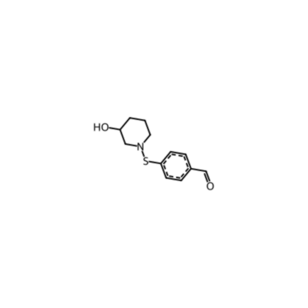 O=Cc1ccc(SN2CCCC(O)C2)cc1